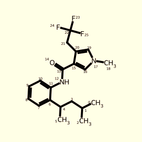 CC(C)CC(C)c1ccccc1NC(=O)c1cn(C)cc1CC(F)(F)F